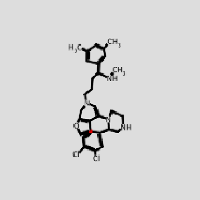 CNC(CCCN1C=C(N2CCNCC2c2ccc(Cl)c(Cl)c2)c2ccoc2C1)c1cc(C)cc(C)c1